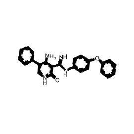 N=C(Nc1ccc(Oc2ccccc2)cc1)c1c(N)c(-c2ccccc2)c[nH]c1=O